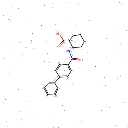 O=C(N[C@H]1CCCC[C@H]1C(=O)O)c1ccc(-c2ccccc2)cc1